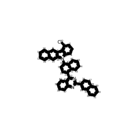 Clc1cccc2c1c1cc3ccccc3cc1n2-c1ccc(-c2nc(-c3ccc4ccccc4c3)nc3ccccc23)c2ccccc12